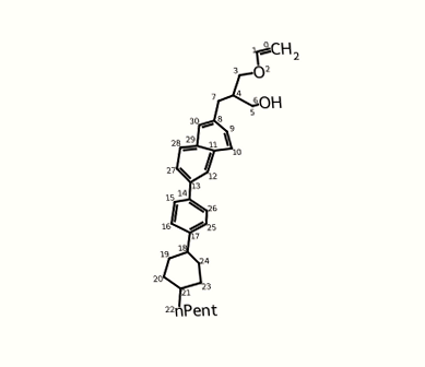 C=COCC(CO)Cc1ccc2cc(-c3ccc(C4CCC(CCCCC)CC4)cc3)ccc2c1